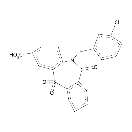 O=C(O)c1ccc2c(c1)S(=O)(=O)c1ccccc1C(=O)N2Cc1cccc(Cl)c1